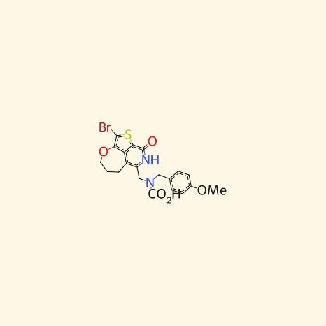 COc1ccc(CN(Cc2[nH]c(=O)c3sc(Br)c4c3c2CCCO4)C(=O)O)cc1